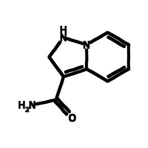 NC(=O)C1=C2C=CC=CN2NC1